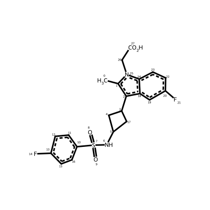 Cc1c(C2CC(NS(=O)(=O)c3ccc(F)cc3)C2)c2cc(F)ccc2n1CC(=O)O